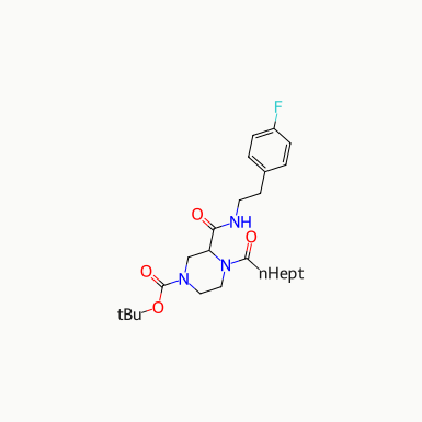 CCCCCCCC(=O)N1CCN(C(=O)OC(C)(C)C)CC1C(=O)NCCc1ccc(F)cc1